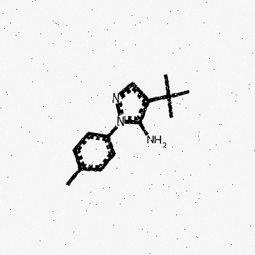 Cc1ccc(-n2ncc(C(C)(C)C)c2N)cc1